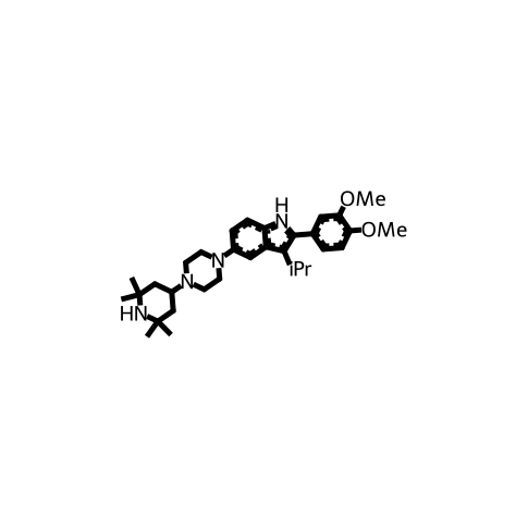 COc1ccc(-c2[nH]c3ccc(N4CCN(C5CC(C)(C)NC(C)(C)C5)CC4)cc3c2C(C)C)cc1OC